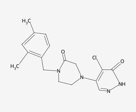 Cc1ccc(CN2CCN(c3cn[nH]c(=O)c3Cl)CC2=O)c(C)c1